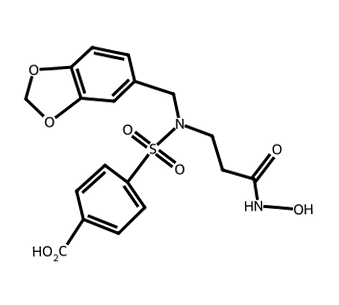 O=C(CCN(Cc1ccc2c(c1)OCO2)S(=O)(=O)c1ccc(C(=O)O)cc1)NO